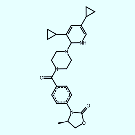 C[C@@H]1COC(=O)N1c1ccc(C(=O)N2CCN(C3NC=C(C4CC4)C=C3C3CC3)CC2)cc1